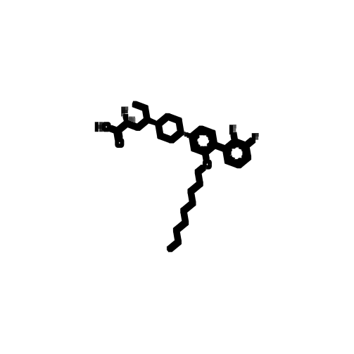 CCCCCCCCCOc1cc([C@H]2CC[C@H](C(CC)C[C@H](F)C(=O)O)CC2)ccc1-c1cccc(F)c1F